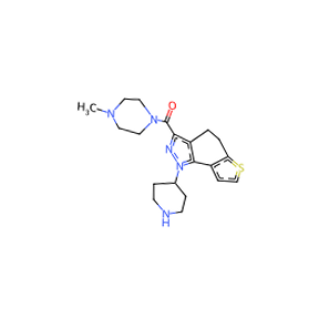 CN1CCN(C(=O)c2nn(C3CCNCC3)c3c2CCc2sccc2-3)CC1